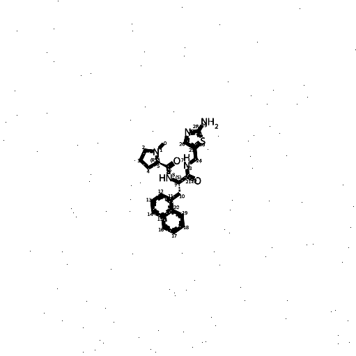 CN1CCC[C@@H]1C(=O)N[C@@H](Cc1cccc2ccccc12)C(=O)NCc1cnc(N)s1